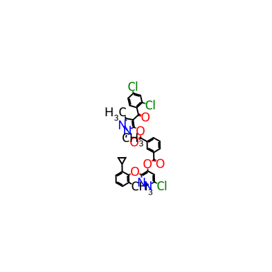 Cc1cccc(C2CC2)c1Oc1nnc(Cl)cc1OC(=O)c1cccc(C(=O)Oc2c(C(=O)c3ccc(Cl)cc3Cl)c(C)nn2C)c1